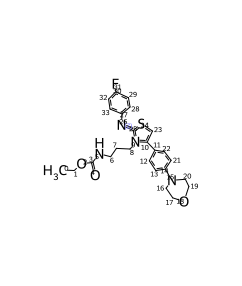 CCOC(=O)NCCCn1c(-c2ccc(N3CCOCC3)cc2)cs/c1=N\c1ccc(F)cc1